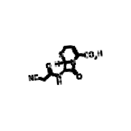 N#CCC(=O)N[C@@H]1C(=O)N2C(C(=O)O)=CCS[C@@H]12